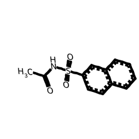 CC(=O)NS(=O)(=O)c1ccc2ccccc2c1